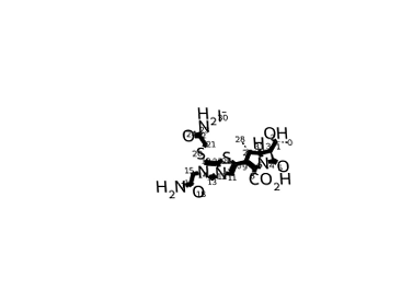 C[C@@H](O)[C@H]1C(=O)N2C(C(=O)O)=C(c3c[n+]4cn(CC(N)=O)c(SCC(N)=O)c4s3)[C@H](C)[C@H]12.[I-]